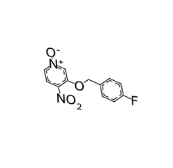 O=[N+]([O-])c1cc[n+]([O-])cc1OCc1ccc(F)cc1